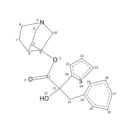 O=C(OC1CN2CCC1CC2)C(O)(Cc1ccccc1)c1cccs1